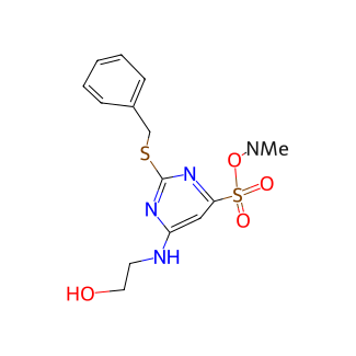 CNOS(=O)(=O)c1cc(NCCO)nc(SCc2ccccc2)n1